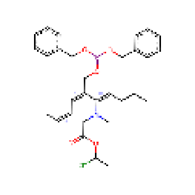 C\C=C/C=C(COP(OCc1ccccc1)OCc1ccccc1)\C(=C\CCC)N(C)CC(=O)OC(C)Cl